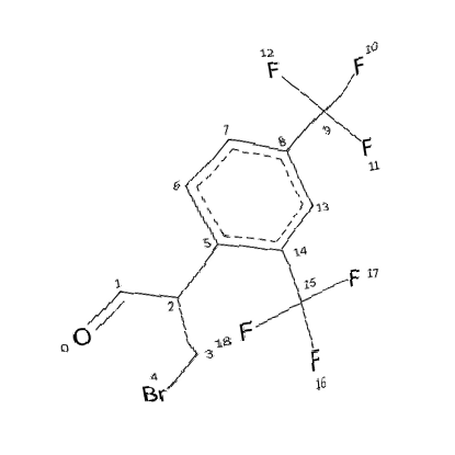 O=CC(CBr)c1ccc(C(F)(F)F)cc1C(F)(F)F